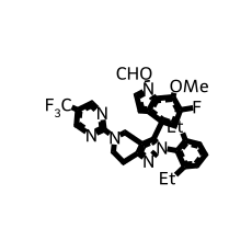 CCc1cccc(CC)c1-n1nc2c(c1-c1cc(F)c(OC)c3c1ccn3C=O)CN(c1ncc(C(F)(F)F)cn1)CC2